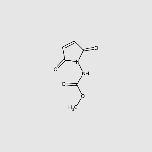 COC(=O)NN1C(=O)C=CC1=O